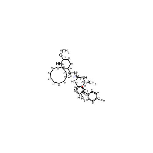 COC[C@H](C)N/C(=N/C(=O)C1CCC(OC)NC12CCCCCCCCC2)Nc1cc(-c2ccc(F)cc2)[nH]n1